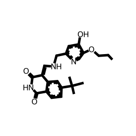 CCCOc1cnc(CN/C=C2/C(=O)NC(=O)c3ccc(C(C)(C)C)cc32)cc1O